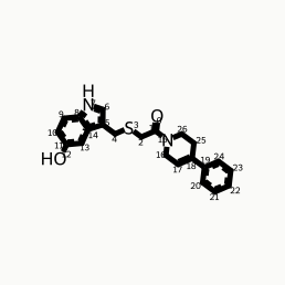 O=C(CSCc1c[nH]c2ccc(O)cc12)N1CC=C(c2ccccc2)CC1